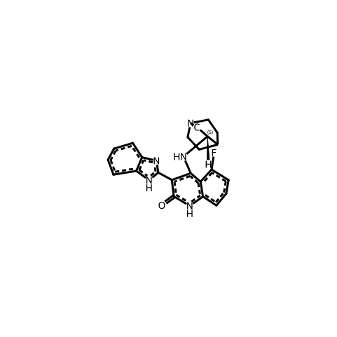 O=c1[nH]c2cccc(F)c2c(N[C@@H]2CN3CCC2CC3)c1-c1nc2ccccc2[nH]1